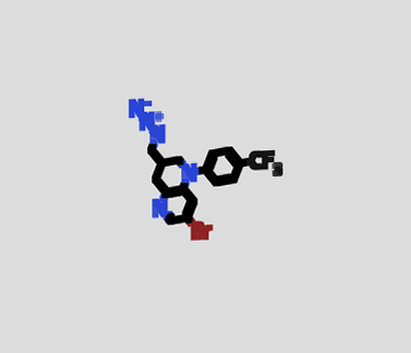 [N-]=[N+]=NCC1Cc2ncc(Br)cc2N(c2ccc(C(F)(F)F)cc2)C1